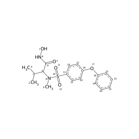 CC(C)C(C(=O)NO)N(C)S(=O)(=O)c1ccc(Oc2ccccc2)cc1